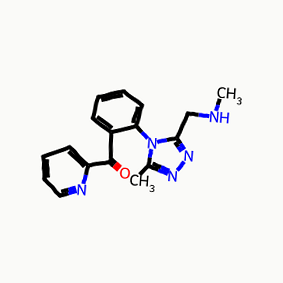 CNCc1nnc(C)n1-c1ccccc1C(=O)c1ccccn1